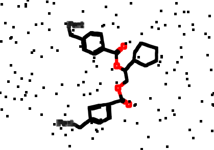 CCCC(C)Cc1ccc(C(=O)OCC(OC(=O)c2ccc(CC(C)CCC)cc2)C2CCCCC2)cc1